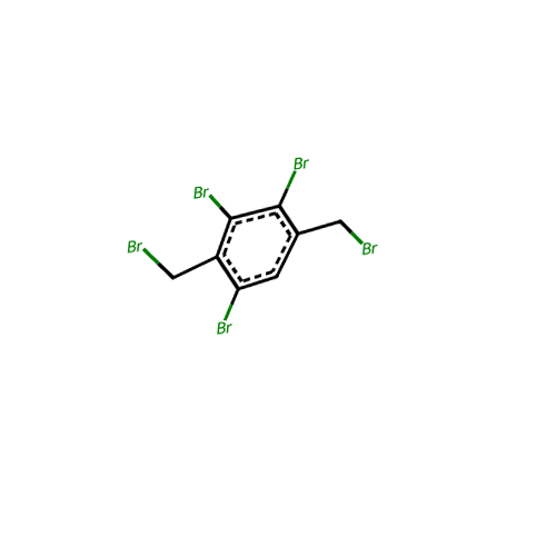 BrCc1cc(Br)c(CBr)c(Br)c1Br